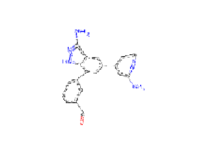 Nc1cc(-c2cc(-c3cccc(C=O)c3)c3[nH]nc(N)c3c2)ccn1